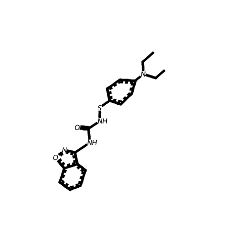 CCN(CC)c1ccc(SNC(=O)Nc2noc3ccccc23)cc1